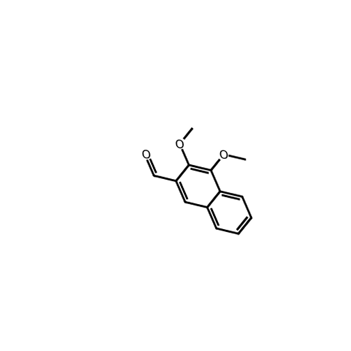 COc1c(C=O)cc2ccccc2c1OC